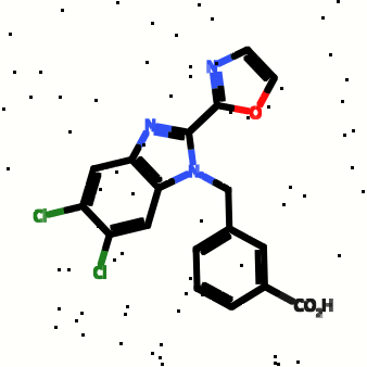 O=C(O)c1cccc(Cn2c(-c3ncco3)nc3cc(Cl)c(Cl)cc32)c1